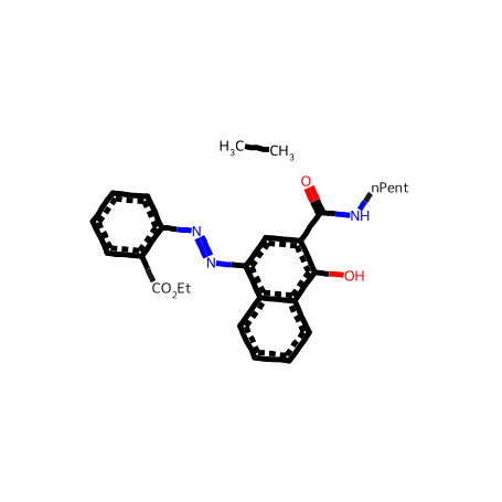 CC.CCCCCNC(=O)c1cc(N=Nc2ccccc2C(=O)OCC)c2ccccc2c1O